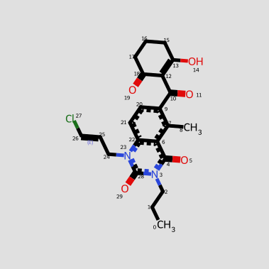 CCCn1c(=O)c2c(C)c(C(=O)C3=C(O)CCCC3=O)ccc2n(C/C=C/Cl)c1=O